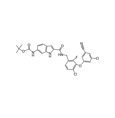 CC(C)(C)OC(=O)Nc1ccc2cc(C(=O)NCc3ccc(Cl)c(Oc4cc(Cl)cc(C#N)c4)c3F)[nH]c2c1